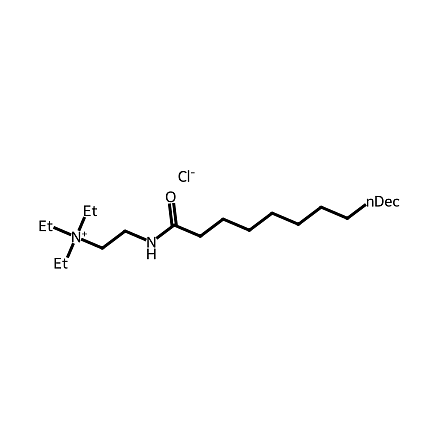 CCCCCCCCCCCCCCCCCC(=O)NCC[N+](CC)(CC)CC.[Cl-]